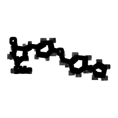 CSC1=NC(=O)/C(=C/c2ccc(OCc3ccc(-n4cccc4)cc3)cc2)S1